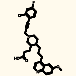 COc1ccc2nccc(CCCC3CCN(CC#Cc4ccc(F)cc4Cl)CC3CCC(=O)O)c2c1